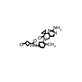 Cc1ccc(NC(=O)C2CC(=O)C2)cc1N1Cc2cnc(N)nc2C2(CC2)C1=O